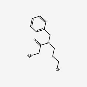 NCC(=O)N(CCCO)Cc1ccccc1